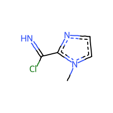 Cn1ccnc1C(=N)Cl